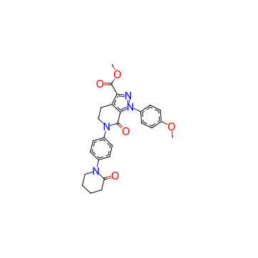 COC(=O)c1nn(-c2ccc(OC)cc2)c2c1CCN(c1ccc(N3CCCCC3=O)cc1)C2=O